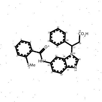 CSc1ccccc1C(=O)Nc1ccc2ncn(C(CC(=O)O)c3ccccc3)c2c1